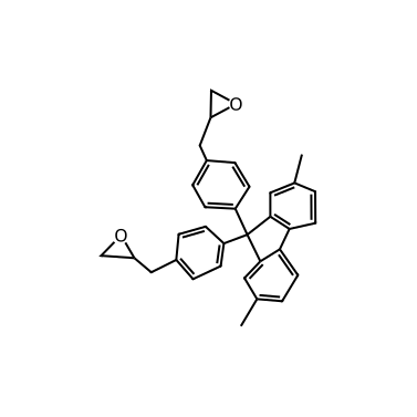 Cc1ccc2c(c1)C(c1ccc(CC3CO3)cc1)(c1ccc(CC3CO3)cc1)c1cc(C)ccc1-2